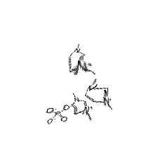 Cn1cc[n+](C)c1.Cn1cc[n+](C)c1.Cn1cc[n+](C)c1.O=P([O-])([O-])[O-]